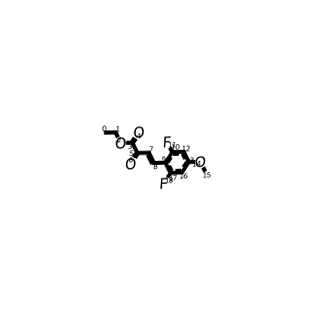 CCOC(=O)C(=O)/C=C/c1c(F)cc(OC)cc1F